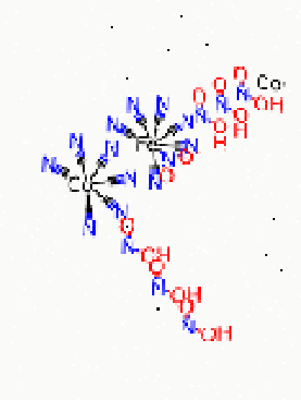 N#[C][Co]([C]#N)([C]#N)([C]#N)([C]#N)[C]#N.N#[C][Fe]([C]#N)([C]#N)([C]#N)([C]#N)([C]#N)[N+](=O)[O-].O=NO.O=NO.O=NO.O=NO.O=NO.O=NO.[Co]